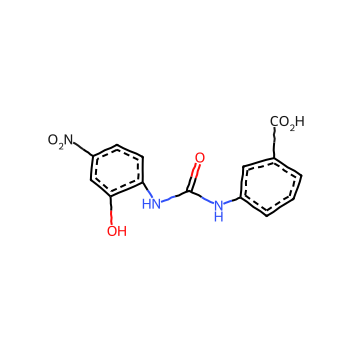 O=C(Nc1cccc(C(=O)O)c1)Nc1ccc([N+](=O)[O-])cc1O